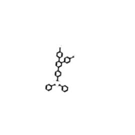 N#Cc1ccc(-c2ccc(-c3ccc(-c4nc(-c5ccccc5)nc(-c5ccccc5)n4)cc3)cc2-c2ccc(C#N)cc2)cc1